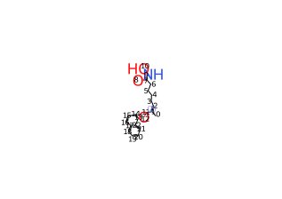 C/C(=C/CCCCC(=O)NO)COc1cccc2ccccc12